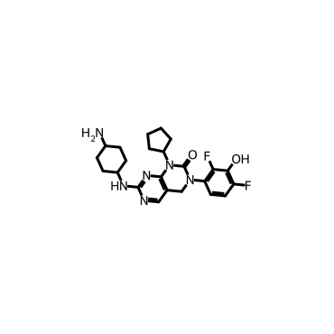 NC1CCC(Nc2ncc3c(n2)N(C2CCCC2)C(=O)N(c2ccc(F)c(O)c2F)C3)CC1